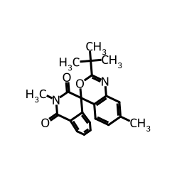 Cc1ccc2c(c1)N=C(C(C)(C)C)OC21C(=O)N(C)C(=O)c2ccccc21